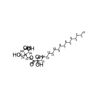 CCCCCCCCCCCCCCCCC(O)(O)C(=O)OCC(CO)(CO)CO